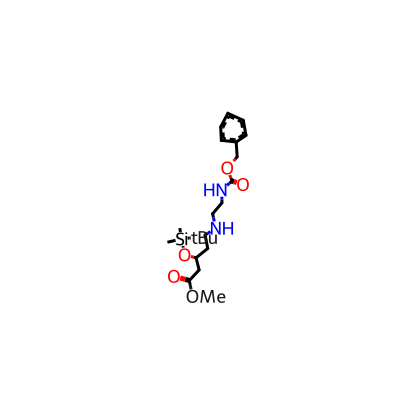 COC(=O)CC(CCNCCNC(=O)OCc1ccccc1)O[Si](C)(C)C(C)(C)C